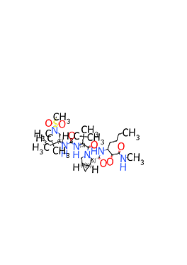 CCCCC(NC(=O)[C@@H]1[C@H]2C[C@H]2CN1C(=O)[C@@H](NC(=O)N[C@H](CN(C)S(C)(=O)=O)C(C)(C)C)C(C)(C)C)C(=O)C(=O)NC